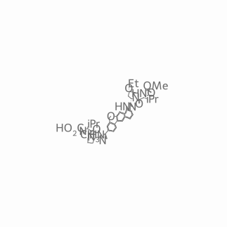 CCO[C@H]1C[C@@H](c2nc3ccc4cc5c(cc4c3[nH]2)OCc2cc(-c3cnc([C@@H]4CCCN4C(=O)[C@H](C(C)C)N(C)C(=O)O)[nH]3)ccc2-5)N(C(=O)[C@@H](NC(=O)OC)C(C)C)C1